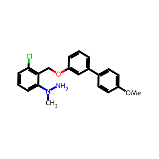 COc1ccc(-c2cccc(OCc3c(Cl)cccc3N(C)N)c2)cc1